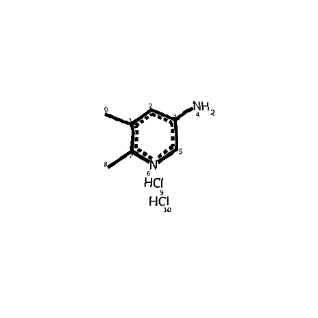 Cc1cc(N)cnc1C.Cl.Cl